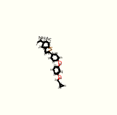 CC(=O)NC(C)c1ccc2sc(-c3ccc(Oc4cccc(OCC5CC5)c4)cc3)cc2c1